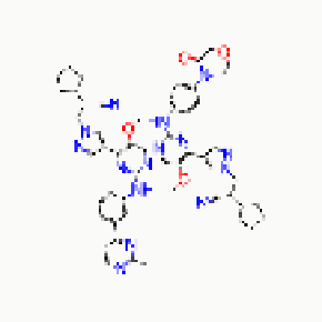 COc1cnc(Nc2ccc(N3CCOCC3=O)cc2)nc1-c1cnn(CC(C#N)C2CCCC2)c1.COc1cnc(Nc2cccc(-c3ccnc(C)n3)c2)nc1-c1cnn(CC(C#N)C2CCCC2)c1